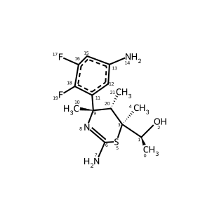 C[C@H](O)[C@@]1(C)SC(N)=N[C@](C)(c2cc(N)cc(F)c2F)[C@@H]1C